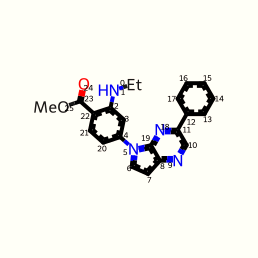 CCNc1cc(-n2ccc3ncc(-c4ccccc4)nc32)ccc1C(=O)OC